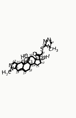 Cn1cnnc1SCC(=O)[C@@]1(O)CCC2C3CCC4=Cc5c(cnn5C)CC4(C)C3[C@@H](O)CC21C